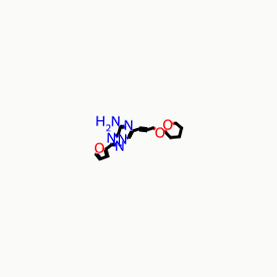 Nc1nc(C#CCOC2CCCCO2)cn2nc(-c3ccco3)nc12